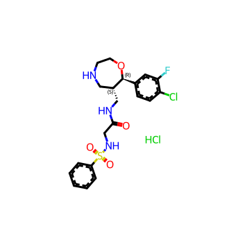 Cl.O=C(CNS(=O)(=O)c1ccccc1)NC[C@@H]1CNCCO[C@H]1c1ccc(Cl)c(F)c1